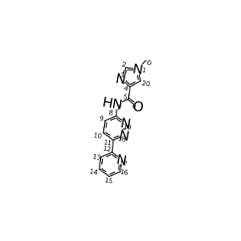 Cn1cnc(C(=O)Nc2ccc(-c3ccccn3)nn2)c1